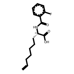 C=CCCCCC[C@H](NC(=O)c1ccccc1F)C(=O)O